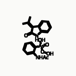 CC(=O)Nc1ccccc1[As](=O)(O)OO.CC(C)=C1C(=O)Nc2ccccc21